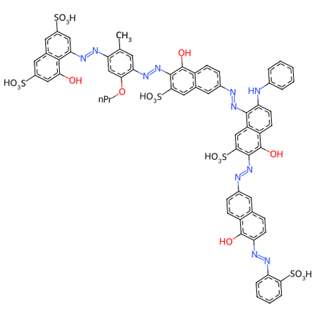 CCCOc1cc(N=Nc2cc(S(=O)(=O)O)cc3cc(S(=O)(=O)O)cc(O)c23)c(C)cc1N=Nc1c(S(=O)(=O)O)cc2cc(N=Nc3c(Nc4ccccc4)ccc4c(O)c(N=Nc5ccc6c(O)c(N=Nc7ccccc7S(=O)(=O)O)ccc6c5)c(S(=O)(=O)O)cc34)ccc2c1O